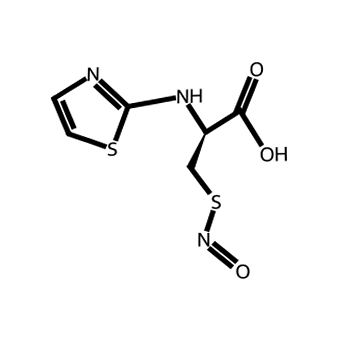 O=NSC[C@@H](Nc1nccs1)C(=O)O